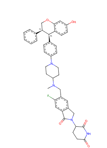 CN(Cc1cc2c(cc1F)C(=O)N(C1CCC(=O)NC1=O)C2)C1CCN(c2ccc([C@@H]3c4ccc(O)cc4OC[C@@H]3c3ccccc3)cc2)CC1